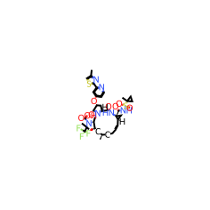 Cc1csc(-c2cc(O[C@@H]3C[C@H]4C(=O)N[C@]5(C(=O)NS(=O)(=O)C6(C)CC6)C[C@H]5C=CCC[C@@H](C)C[C@@H](C)[C@H](N(C(=O)O)C(C)(C)C(F)(F)F)C(=O)N4C3)ccn2)n1